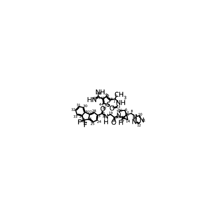 CC(NC(=O)[C@@H]1C[C@]2(Cn3cncn3)C[C@@H]2N1C(=O)CNC(=O)c1ccc2c(c1)-c1ccccc1C2(F)F)c1cc(C(=N)N)cs1